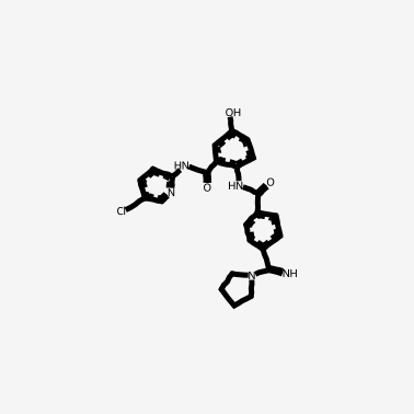 N=C(c1ccc(C(=O)Nc2ccc(O)cc2C(=O)Nc2ccc(Cl)cn2)cc1)N1CCCC1